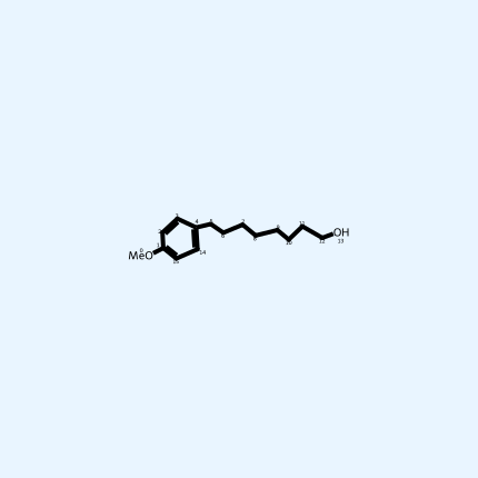 COc1ccc(CCCCCCCCO)cc1